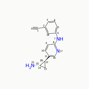 C#Cc1cccc(Nc2ccc([C@H]3C[C@@H]3N)cn2)c1